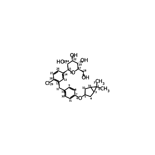 CC1(C)C2CC(Oc3ccc(Cc4cc([C@@H]5O[C@H](CO)[C@@H](O)[C@H](O)[C@H]5O)ccc4Cl)cc3)CC21